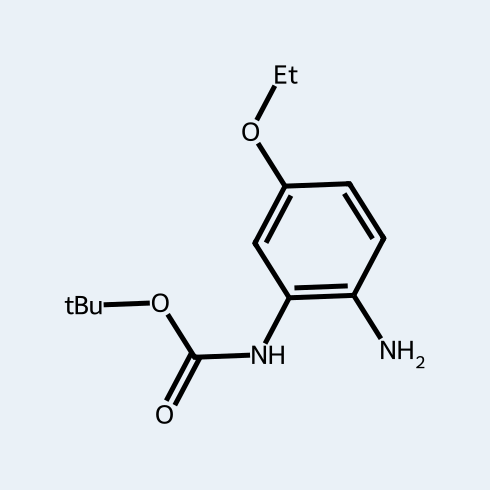 CCOc1ccc(N)c(NC(=O)OC(C)(C)C)c1